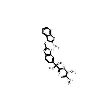 CCNC(=O)[C@@H](C)NC(=O)C(C)(C)c1ccc2nc(C[C@@H]3c4ccccc4O[C@@H]3C)[nH]c2c1